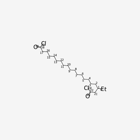 CCC(CCCCCCCCCCCCCCCCC(=O)Cl)CC(=O)Cl